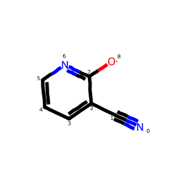 N#Cc1cccnc1[O]